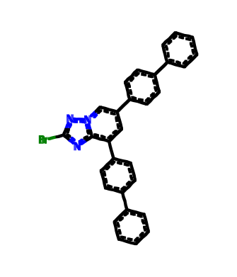 Brc1nc2c(-c3ccc(-c4ccccc4)cc3)cc(-c3ccc(-c4ccccc4)cc3)cn2n1